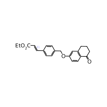 CCOC(=O)/C=C/c1ccc(COc2ccc3c(c2)CCCC3=O)cc1